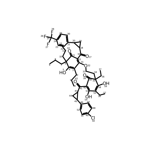 CCCC1=C(O)C(CCC)(CCC)C(=O)C(C(=O)C2CC2c2ccc(C(F)(F)F)cc2)=C1OCCC1(CC)C(=O)C(C(=O)C2CC2c2ccc(Cl)cc2)=C(O)C(CC)=C1O